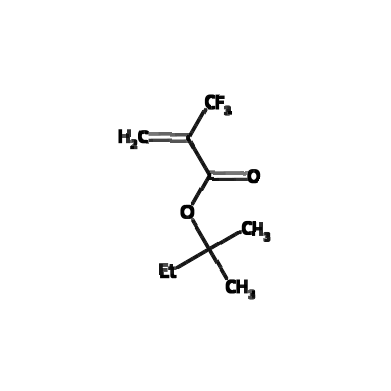 C=C(C(=O)OC(C)(C)CC)C(F)(F)F